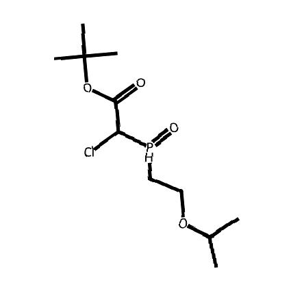 CC(C)OCC[PH](=O)C(Cl)C(=O)OC(C)(C)C